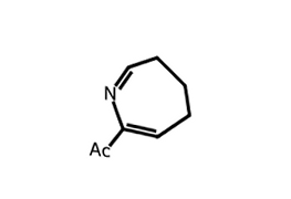 CC(=O)C1=CCCCC=N1